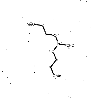 COCCON(C=O)OCCOC